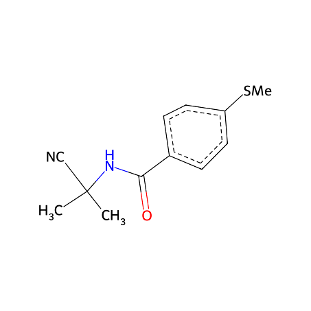 CSc1ccc(C(=O)NC(C)(C)C#N)cc1